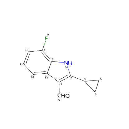 O=Cc1c(C2CC2)[nH]c2c(F)cccc12